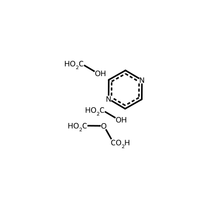 O=C(O)O.O=C(O)O.O=C(O)OC(=O)O.c1cnccn1